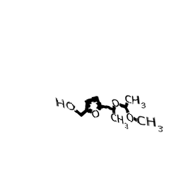 COC(C)OC(C)c1ccc(CO)o1